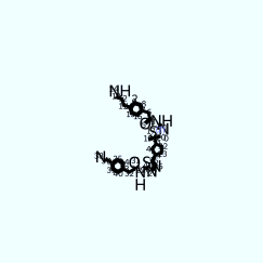 C/N=C(/NC(=O)Cc1ccc(CCCN)cc1)SC(C)(C)C1CCC(c2nnc(NC(=O)Cc3ccc(C#N)cc3)s2)C1